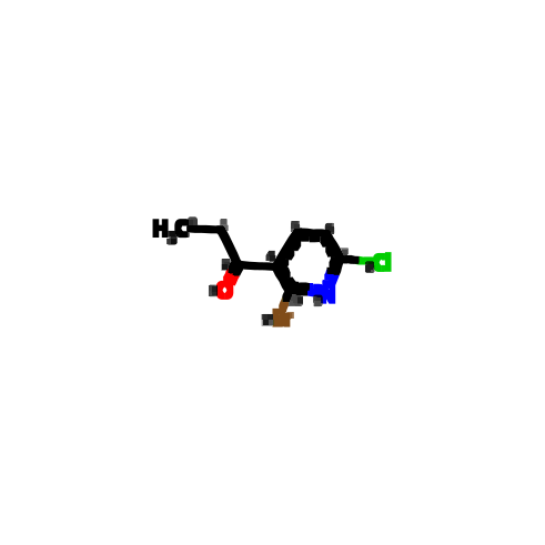 CCC(=O)c1ccc(Cl)nc1Br